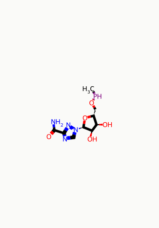 CPOC[C@H]1O[C@@H](n2cnc(C(N)=O)n2)[C@H](O)[C@@H]1O